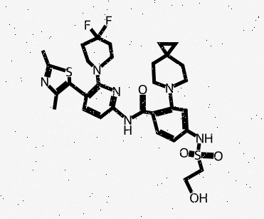 Cc1nc(C)c(-c2ccc(NC(=O)c3ccc(NS(=O)(=O)CCO)cc3N3CCC4(CC3)CC4)nc2N2CCC(F)(F)CC2)s1